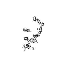 CN(C)CC[C@H](CSc1ccccc1)Nc1ccc(S(=O)(=O)NC(=O)c2ccc3c(c2)C[C@@H]2CN(Cc4ccccc4-c4ccc(Cl)cc4)CCN32)cc1[N+](=O)[O-].Cl.Cl